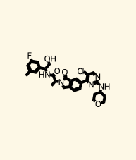 Cc1cc(F)cc(C(CO)NC(=O)C(C)N2Cc3ccc(-c4nc(NC5CCOCC5)ncc4Cl)cc3C2=O)c1